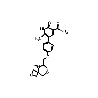 CN1C(COc2ccc(-c3cc(C(N)=O)c(=O)[nH]c3C(F)(F)F)cc2)COCC12COC2